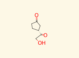 O=C1CC[C@@H](C(=O)CO)C1